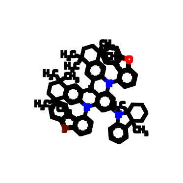 CC1(C)CCC(C)(C)c2cc3c(cc21)B1c2cc4c(cc2N(c2cccc5sc6ccccc6c25)c2cc(N5c6ccccc6C6(C)CCCCC56C)cc(c21)N3c1cccc2oc3ccccc3c12)C(C)(C)CCC4(C)C